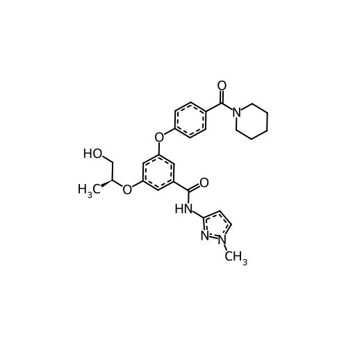 C[C@@H](CO)Oc1cc(Oc2ccc(C(=O)N3CCCCC3)cc2)cc(C(=O)Nc2ccn(C)n2)c1